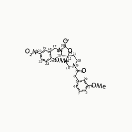 COc1cccc(CC(=O)N2CCC3(CC2)CN(Cc2cc([N+](=O)[O-])ccc2OC)C(=O)O3)c1